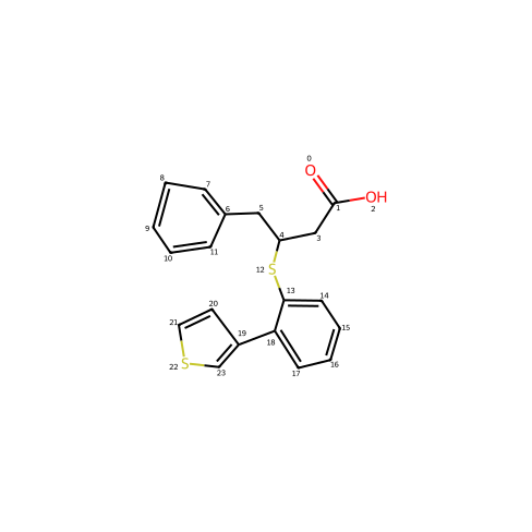 O=C(O)CC(Cc1ccccc1)Sc1ccccc1-c1ccsc1